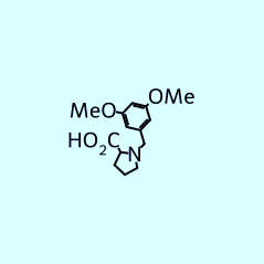 COc1cc(CN2CCCC2C(=O)O)cc(OC)c1